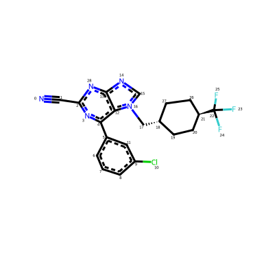 N#Cc1nc(-c2cccc(Cl)c2)c2c(ncn2C[C@H]2CC[C@H](C(F)(F)F)CC2)n1